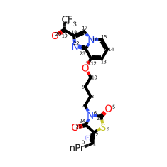 CCC/C=C1/SC(=O)N(CCCCOc2cccn3cc(C(=O)C(F)(F)F)nc23)C1=O